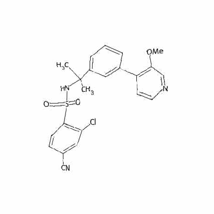 COc1cnccc1-c1cccc(C(C)(C)NS(=O)(=O)c2ccc(C#N)cc2Cl)c1